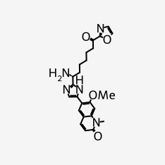 COc1cc2c(ccc(=O)n2C)cc1-c1cnc([C@@H](N)CCCCCC(=O)c2ncco2)[nH]1